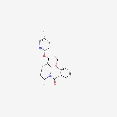 CCOc1ccccc1C(=O)N1C[C@H](COc2ccc(F)cn2)CC[C@H]1C